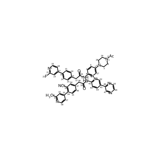 CC(=O)N1CCN(c2ccc(NC(=O)Cc3ccc(-c4ccnc(F)c4)cc3)nc2)CC1.Cc1cc(-c2ccc(CC(=O)Nc3ccc(-c4cnccn4)cn3)cc2C#N)ccn1